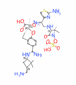 CC1(C)[C@@H](CN)C[C@H]1NC(=N)c1ccc2c(c1)CC[C@H]([C@](C)(O/N=C(\CN[C@@H]1C(=O)N(OS(=O)(=O)O)C1(C)C)c1csc(N)n1)C(=O)O)O2